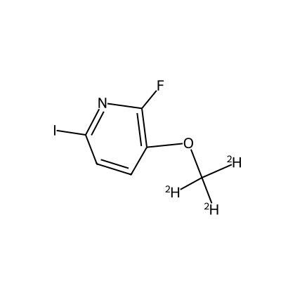 [2H]C([2H])([2H])Oc1ccc(I)nc1F